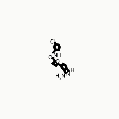 Nc1n[nH]c2ccc(-c3ccc(C(=O)NCc4cccc(Cl)c4)o3)cc12